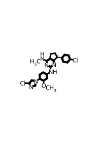 CNc1nc(Nc2ccc(-n3cnc(Cl)c3)c(OC)c2)nc2c1CC[C@H]2c1ccc(Cl)cc1